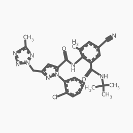 Cc1nnn(Cc2cc(C(=O)Nc3c(C)cc(C#N)cc3C(=O)NC(C)(C)C)n(-c3ccccc3Cl)n2)n1